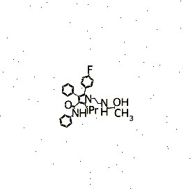 CC(O)CNCCn1c(-c2ccc(F)cc2)c(-c2ccccc2)c(C(=O)Nc2ccccc2)c1C(C)C